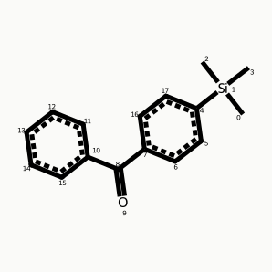 C[Si](C)(C)c1ccc(C(=O)c2ccccc2)cc1